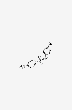 N#Cc1ccc(NS(=O)(=O)c2ccc(N)cc2)cc1